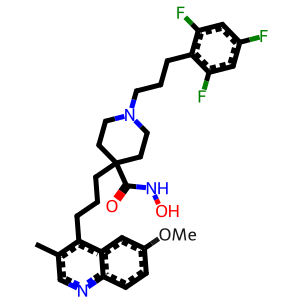 COc1ccc2ncc(C)c(CCCC3(C(=O)NO)CCN(CCCc4c(F)cc(F)cc4F)CC3)c2c1